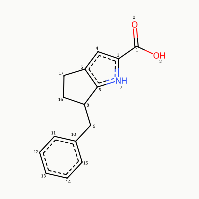 O=C(O)c1cc2c([nH]1)C(Cc1ccccc1)CC2